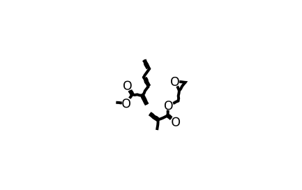 C=C(C)C(=O)OCC1CO1.C=CC=CC(=C)C(=O)OC